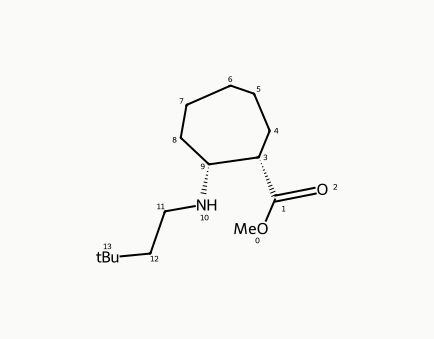 COC(=O)[C@H]1CCCCC[C@H]1NCCC(C)(C)C